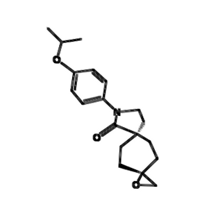 CC(C)Oc1ccc(N2CC[C@]3(CC[C@@]4(CC3)CO4)C2=O)cc1